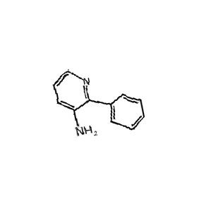 Nc1cc[c]nc1-c1ccccc1